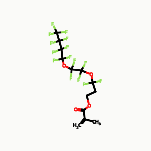 C=C(C)C(=O)OCCC(F)(F)OC(F)(F)C(F)(F)OC(F)(F)C(F)(F)C(F)(F)C(F)(F)F